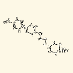 CCCc1cnc(-c2ccc(OCCC[C@H]3CC[C@H](CCC)CC3)cc2)cn1